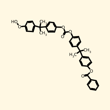 CC(C)(c1ccc(OO)cc1)c1ccc(OC(=O)Oc2ccc(C(C)(C)c3ccc(OC(=O)c4ccccc4)cc3)cc2)cc1